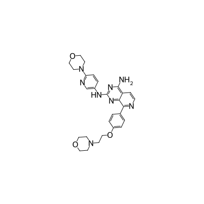 Nc1nc(Nc2ccc(N3CCOCC3)nc2)nc2c(-c3ccc(OCCN4CCOCC4)cc3)nccc12